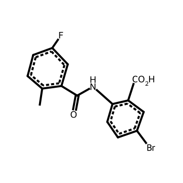 Cc1ccc(F)cc1C(=O)Nc1ccc(Br)cc1C(=O)O